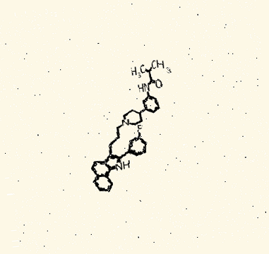 CC(C)C(=O)Nc1cccc(C2CCN(CCCc3c(-c4cccc(F)c4)[nH]c4c3ccc3ccccc34)CC2)c1